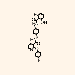 O=C(NCc1ccc(CNC(=O)c2c(O)cccc2F)cc1)c1cccnc1Oc1ccc(F)cc1